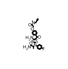 C#CCN(C)C(=O)COc1ccc(C(=O)c2sc(N(c3ccc(F)cc3)C(C)C(N)=O)nc2N)cc1